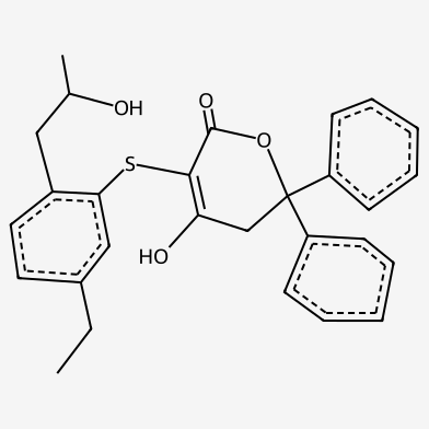 CCc1ccc(CC(C)O)c(SC2=C(O)CC(c3ccccc3)(c3ccccc3)OC2=O)c1